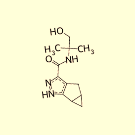 CC(C)(CO)NC(=O)c1n[nH]c2c1CC1CC21